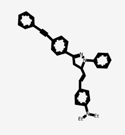 CCN(CC)c1ccc(C=CC2CC(c3ccc(C#Cc4ccccc4)cc3)=NN2c2ccccc2)cc1